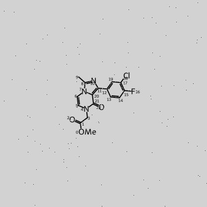 COC(=O)Cn1ccn2c(C)nc(-c3ccc(F)c(Cl)c3)c2c1=O